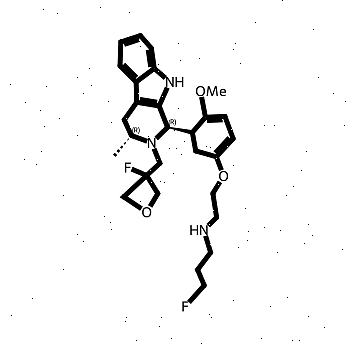 COC1=CC=C(OCCNCCCF)CC1[C@@H]1c2[nH]c3ccccc3c2C[C@@H](C)N1CC1(F)COC1